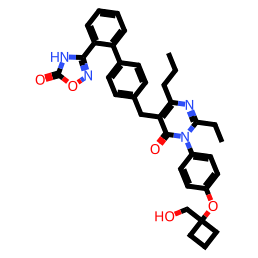 CCCc1nc(CC)n(-c2ccc(OC3(CO)CCC3)cc2)c(=O)c1Cc1ccc(-c2ccccc2-c2noc(=O)[nH]2)cc1